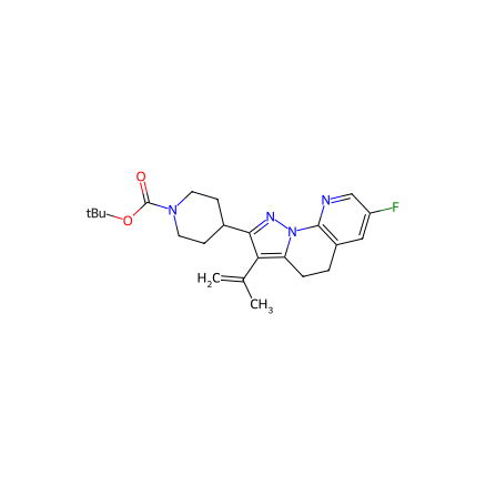 C=C(C)c1c(C2CCN(C(=O)OC(C)(C)C)CC2)nn2c1CCc1cc(F)cnc1-2